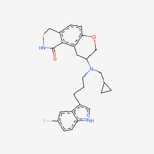 O=C1NCCc2ccc3c(c21)CC(N(CCCc1c[nH]c2ccc(F)cc12)CC1CC1)CO3